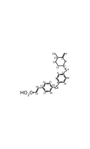 C=C1CC(Sc2ccc(Sc3ccc(/C=C/C(=O)O)cc3)cc2)CCC1C